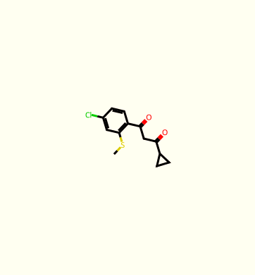 CSc1cc(Cl)ccc1C(=O)CC(=O)C1CC1